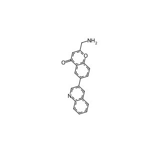 NCc1cc(=O)c2cc(-c3cnc4ccccc4c3)ccc2o1